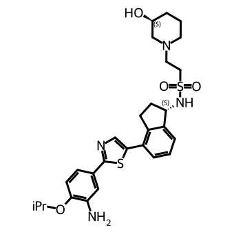 CC(C)Oc1ccc(-c2ncc(-c3cccc4c3CC[C@@H]4NS(=O)(=O)CCN3CCC[C@H](O)C3)s2)cc1N